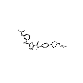 O=C(O)CC1CCC(c2ccc(NC(=O)c3nnc(Nc4cccc(OC(F)F)c4)o3)cc2)CC1